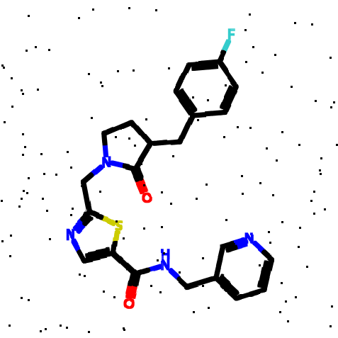 O=C(NCc1cccnc1)c1cnc(CN2CCC(Cc3ccc(F)cc3)C2=O)s1